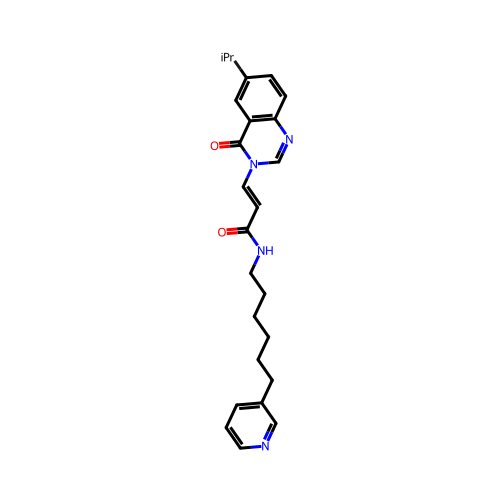 CC(C)c1ccc2ncn(C=CC(=O)NCCCCCCc3cccnc3)c(=O)c2c1